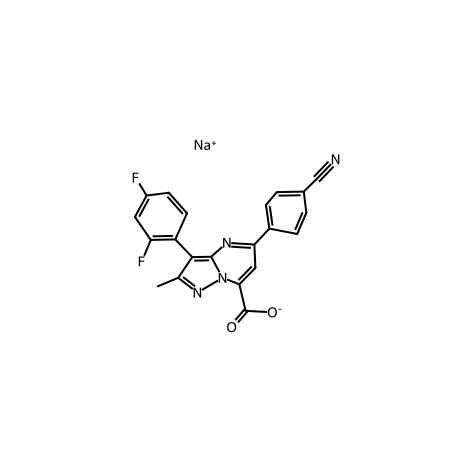 Cc1nn2c(C(=O)[O-])cc(-c3ccc(C#N)cc3)nc2c1-c1ccc(F)cc1F.[Na+]